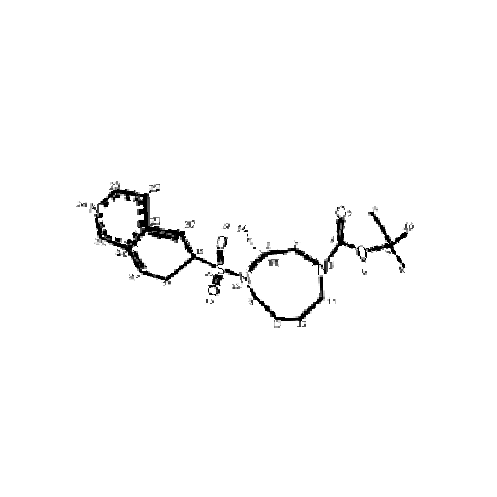 C[C@@H]1CN(C(=O)OC(C)(C)C)CCCCN1S(=O)(=O)C1C=c2ccncc2=CC1